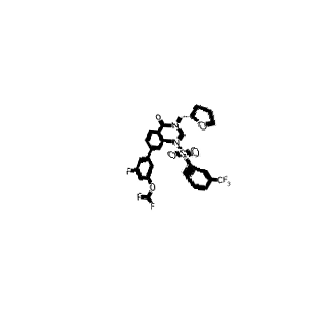 O=C1c2ccc(-c3cc(F)cc(OC(F)F)c3)cc2N(S(=O)(=O)c2cccc(C(F)(F)F)c2)CN1C[C@@H]1CCCO1